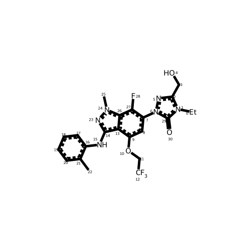 CCn1c(CO)nn(-c2cc(OCC(F)(F)F)c3c(Nc4ccccc4C)nn(C)c3c2F)c1=O